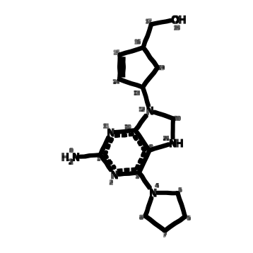 Nc1nc(N2CCCC2)c2c(n1)N(C1C=CC(CO)C1)CN2